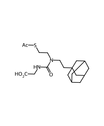 CC(=O)SCCN(CCC12CC3CC(CC(C3)C1)C2)C(=O)NCC(=O)O